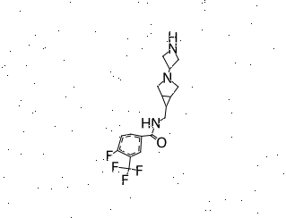 O=C(NCC1C2CN(C3CNC3)CC12)c1ccc(F)c(C(F)(F)F)c1